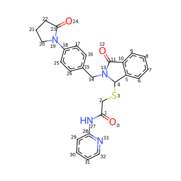 O=C(CSC1c2ccccc2C(=O)N1Cc1ccc(N2CCCC2=O)cc1)Nc1ccccn1